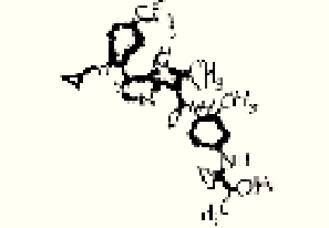 Cc1[nH]c2c(-c3cc(C(F)(F)F)ccc3OCC3CC3)ncnc2c1C(=O)N[C@@H]1CC[C@@H](NC(=O)[C@H](C)O)C[C@H]1C